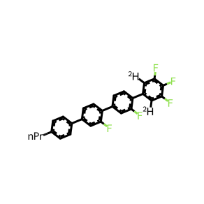 [2H]c1c(F)c(F)c(F)c([2H])c1-c1ccc(-c2ccc(-c3ccc(CCC)cc3)cc2F)cc1F